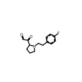 O=CC(=O)C1CCCN1CCc1ccc(F)cc1